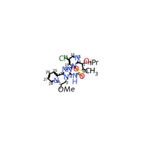 COCCn1c(NS(=O)(=O)C(C)C(OC(C)C)c2ncc(Cl)cn2)nnc1-c1ccccn1